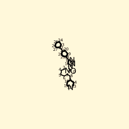 O=C(N1CCCCC1Cc1ccncc1)n1cc(-c2ccc(-c3ccccc3)cc2)nn1